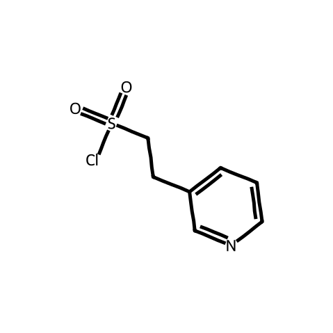 O=S(=O)(Cl)CCc1cccnc1